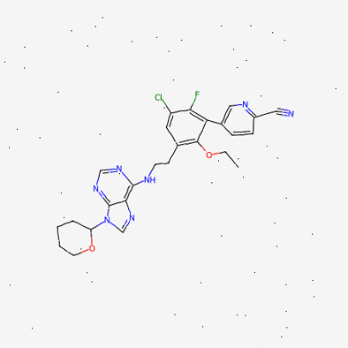 CCOc1c(CCNc2ncnc3c2ncn3C2CCCCO2)cc(Cl)c(F)c1-c1ccc(C#N)nc1